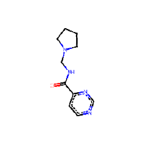 O=C(NCN1CCCC1)c1ccncn1